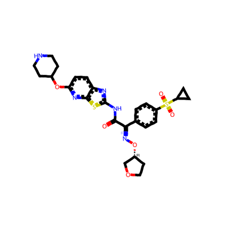 O=C(Nc1nc2ccc(OC3CCNCC3)nc2s1)/C(=N/O[C@@H]1CCOC1)c1ccc(S(=O)(=O)C2CC2)cc1